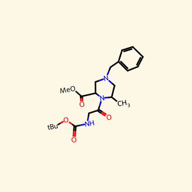 COC(=O)C1CN(Cc2ccccc2)CC(C)N1C(=O)CNC(=O)OC(C)(C)C